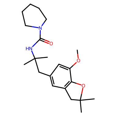 COc1cc(CC(C)(C)NC(=O)N2CCCCC2)cc2c1OC(C)(C)C2